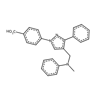 CN(Cc1cn(-c2ccc(C(=O)O)cc2)nc1-c1ccccc1)c1ccccc1